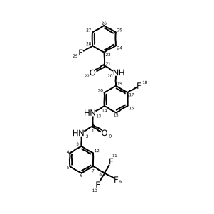 O=C(Nc1cccc(C(F)(F)F)c1)Nc1ccc(F)c(NC(=O)c2ccccc2F)c1